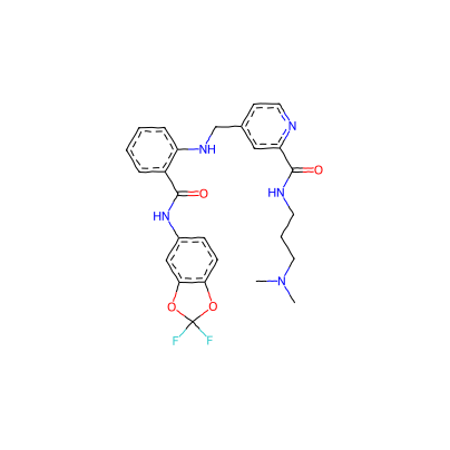 CN(C)CCCNC(=O)c1cc(CNc2ccccc2C(=O)Nc2ccc3c(c2)OC(F)(F)O3)ccn1